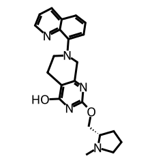 CN1CCC[C@H]1COc1nc(O)c2c(n1)CN(c1cccc3cccnc13)CC2